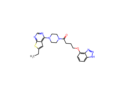 CCc1cc2c(N3CCN(C(=O)CCCOc4cccc5[nH]nnc45)CC3)ncnc2s1